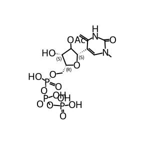 C=C1NC(=O)N(C)C=C1[C@@H]1O[C@H](COP(=O)(O)OP(=O)(O)OP(=O)(O)O)[C@H](O)C1OC(C)=O